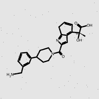 C[C@](O)(C(=O)O)C1=C2C=C(C(=O)N3CCC(c4cccc(CN)c4)CC3)N=C2CC=C1